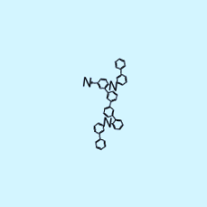 N#Cc1ccc2c(c1)c1cc(-c3ccc4c(c3)c3ccccc3n4-c3cccc(-c4ccccc4)c3)ccc1n2-c1cccc(-c2ccccc2)c1